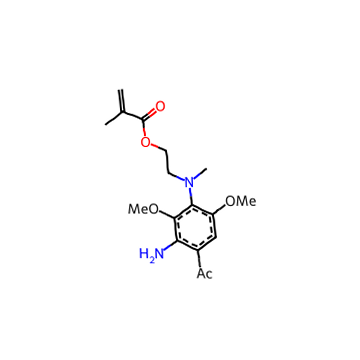 C=C(C)C(=O)OCCN(C)c1c(OC)cc(C(C)=O)c(N)c1OC